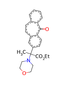 CCOC(=O)C(C)(c1ccc2c(=O)c3ccccc3ccc2c1)N1CCOCC1